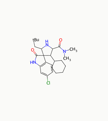 CN(C)C(=O)C1NC(CC(C)(C)C)C2(C(=O)Nc3cc(Cl)ccc32)C1C1CCCCC1